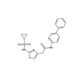 O=C(Cc1csc(NS(=O)(=O)C2CC2)n1)Nc1ccc(-c2ccccc2)cn1